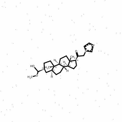 COC(O)[C@H]1CC[C@@]2(C)[C@@H](CC[C@@H]3[C@@H]2CC[C@]2(C)[C@@H](C(=O)Cn4ccnc4)CC[C@@H]32)C1